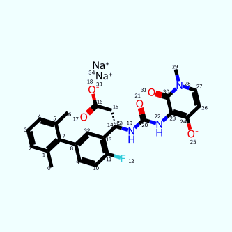 Cc1cccc(C)c1-c1ccc(F)c([C@H](CC(=O)[O-])NC(=O)Nc2c([O-])ccn(C)c2=O)c1.[Na+].[Na+]